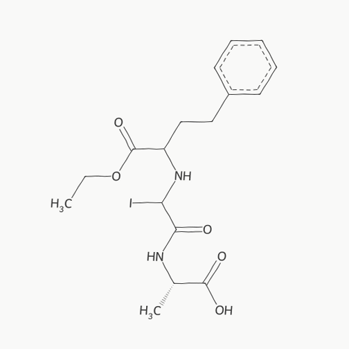 CCOC(=O)C(CCc1ccccc1)NC(I)C(=O)N[C@@H](C)C(=O)O